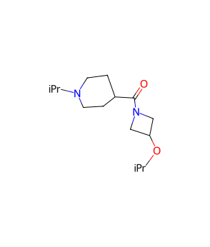 CC(C)OC1CN(C(=O)C2CCN(C(C)C)CC2)C1